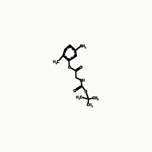 Cc1ccc(N)cc1OC(=O)CNC(=O)OC(C)(C)C